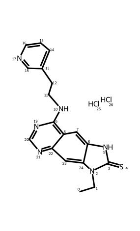 CCn1c(=S)[nH]c2cc3c(NCCc4cccnc4)ncnc3cc21.Cl.Cl